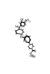 CC(C)(C)OC(=O)N1CCN(c2cccc(O[C@H]3CC[C@H](Nc4ccc([N+](=O)[O-])c(C(F)(F)F)c4)CC3)n2)CC1